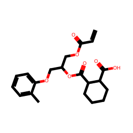 C=CC(=O)OCC(COc1ccccc1C)OC(=O)C1CCCCC1C(=O)O